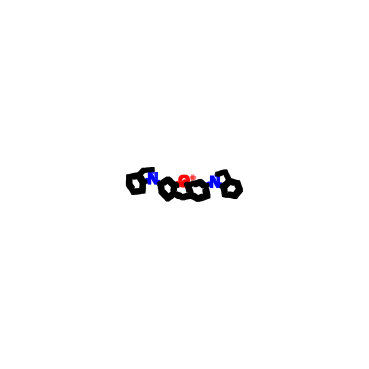 c1ccc2c(c1)CCN2c1ccc2cc3ccc(N4CCc5ccccc54)cc3[o+]c2c1